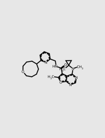 Cc1oc2ncnc(N(C)C3(C)CC3)c2c1C(=O)NCc1cccc(C2CCCCOCCC2)n1